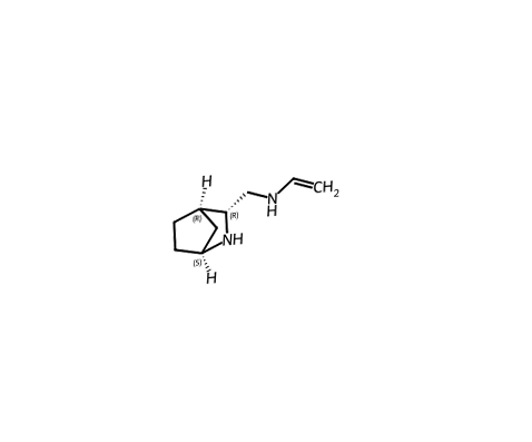 C=CNC[C@@H]1N[C@H]2CC[C@@H]1C2